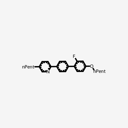 CCCCCOc1ccc(-c2ccc(-c3ccc(CCCCC)cn3)cc2)c(F)c1